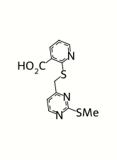 CSc1nccc(CSc2ncccc2C(=O)O)n1